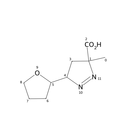 CC1(C(=O)O)CC(C2CCCO2)N=N1